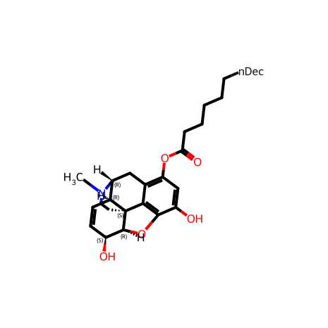 CCCCCCCCCCCCCCCC(=O)Oc1cc(O)c2c3c1C[C@@H]1[C@@H]4C=C[C@H](O)[C@H](O2)[C@]34CCN1C